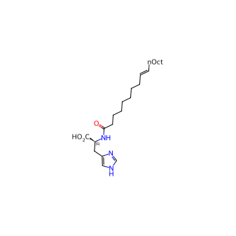 CCCCCCCCC=CCCCCCCCC(=O)N[C@@H](Cc1c[nH]cn1)C(=O)O